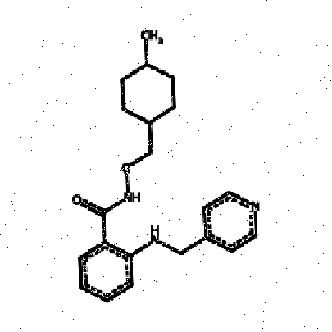 CC1CCC(CONC(=O)c2ccccc2NCc2ccncc2)CC1